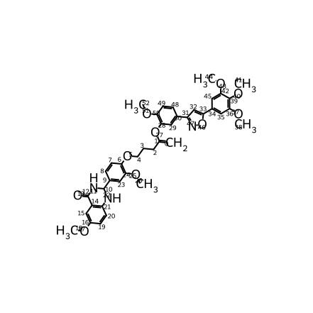 C=C(CCCOc1ccc(C2NC(=O)c3cc(OC)ccc3N2)cc1OC)Oc1cc(-c2cc(-c3cc(OC)c(OC)c(OC)c3)on2)ccc1OC